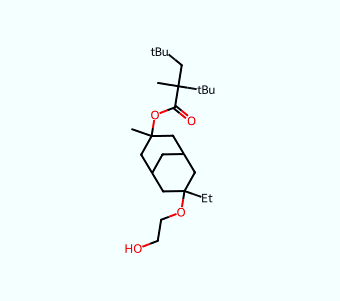 CCC1(OCCO)CC2CC(CC(C)(OC(=O)C(C)(CC(C)(C)C)C(C)(C)C)C2)C1